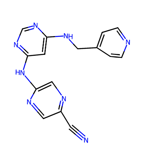 N#Cc1cnc(Nc2cc(NCc3ccncc3)ncn2)cn1